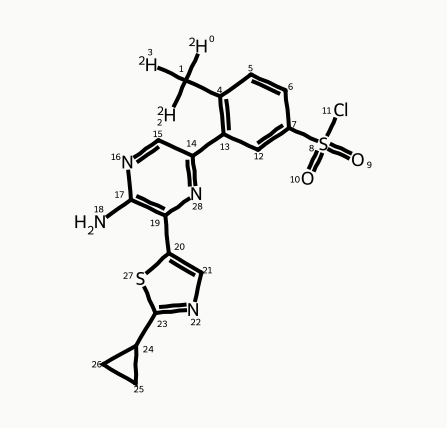 [2H]C([2H])([2H])c1ccc(S(=O)(=O)Cl)cc1-c1cnc(N)c(-c2cnc(C3CC3)s2)n1